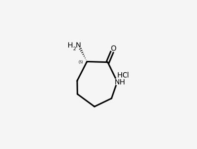 Cl.N[C@H]1CCCCNC1=O